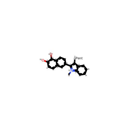 CCCCCc1c(-c2ccc3c(Br)c([O])ccc3c2)n(C)c2ccccc12